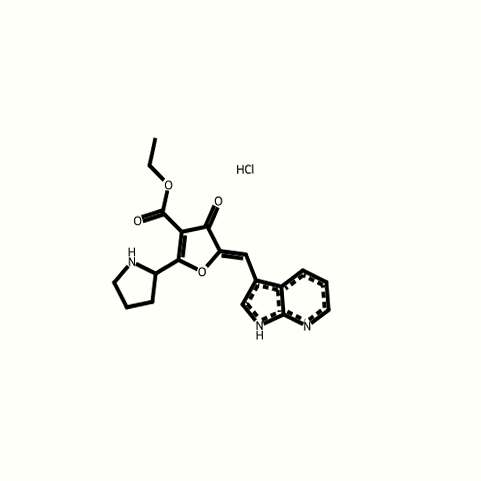 CCOC(=O)C1=C(C2CCCN2)OC(=Cc2c[nH]c3ncccc23)C1=O.Cl